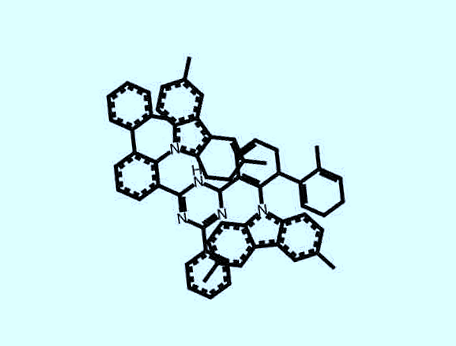 CC1=Cc2c(n(-c3c(C4=NC(c5ccccc5)=NC(C5=C(n6c7ccc(C)cc7c7cc(C)ccc76)C(C6=CCCC=C6C)CC=C5)N4)cccc3-c3ccccc3C)c3ccc(C)cc23)CC1